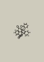 O=C1C(Oc2ccccc2)=C(Oc2ccccc2)C(=O)c2c1cccc2[N+](=O)[O-]